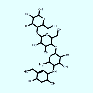 CC1OC(OC2C(CO)OC(OC3C(CO)OC(O)C(O)C3O)C(O)C2O)C(O)C(O)C1NC1C=C(CO)C(O)CC1O